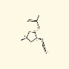 CC(=O)O[C@H]1C[C@H](C)C[C@@H]1N=[N+]=[N-]